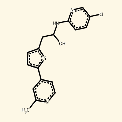 Cc1cc(-c2ccc(CC(O)Nc3ccc(Cl)cn3)s2)ccn1